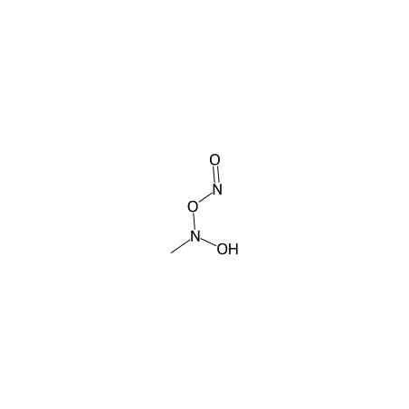 CN(O)ON=O